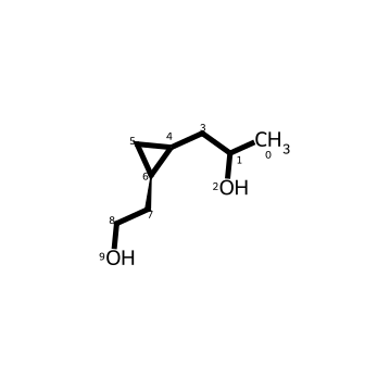 CC(O)CC1C[C@@H]1CCO